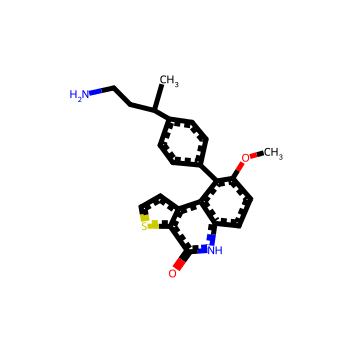 COc1ccc2[nH]c(=O)c3sccc3c2c1-c1ccc(C(C)CCN)cc1